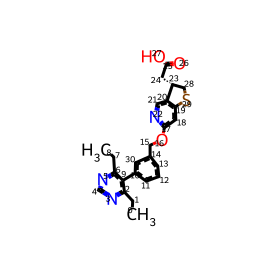 CCc1ncnc(CC)c1-c1cccc(COc2cc3c(cn2)[C@H](CC(=O)O)CS3)c1